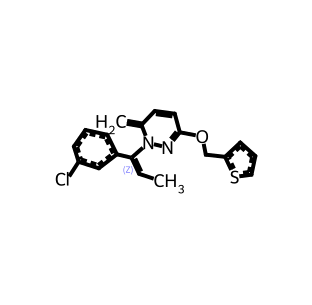 C=C1C=CC(OCc2cccs2)=NN1/C(=C\C)c1cccc(Cl)c1